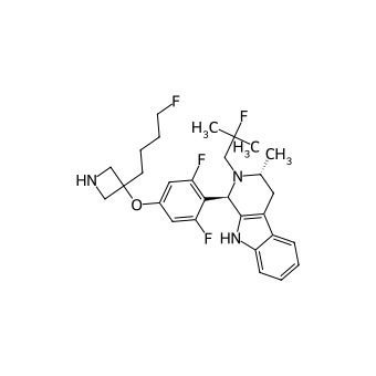 C[C@@H]1Cc2c([nH]c3ccccc23)[C@@H](c2c(F)cc(OC3(CCCCF)CNC3)cc2F)N1CC(C)(C)F